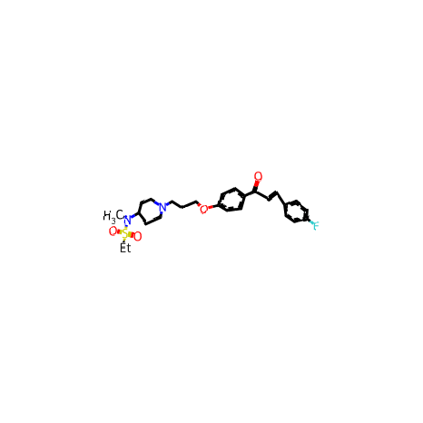 CCS(=O)(=O)N(C)C1CCN(CCCOc2ccc(C(=O)/C=C/c3ccc(F)cc3)cc2)CC1